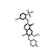 CCS(=O)(=O)c1ccc(Cl)cc1Cn1cnc2c(Cl)c(CN3CCN(C)CC3)c(OC(F)(F)F)cc2c1=O